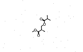 COC(=O)[C@H](C)COC(=O)C(C)C